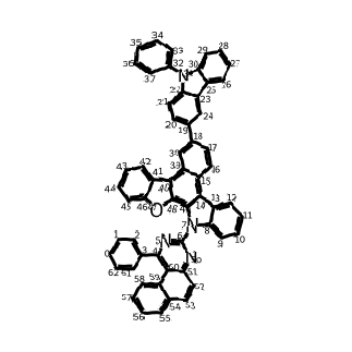 c1ccc(-c2nc(-n3c4ccccc4c4c5ccc(-c6ccc7c(c6)c6ccccc6n7-c6ccccc6)cc5c5c6ccccc6oc5c43)nc3ccc4ccccc4c23)cc1